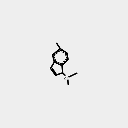 Cc1ccc2c(c1)C=C[CH]2[Zr]([CH3])[CH3]